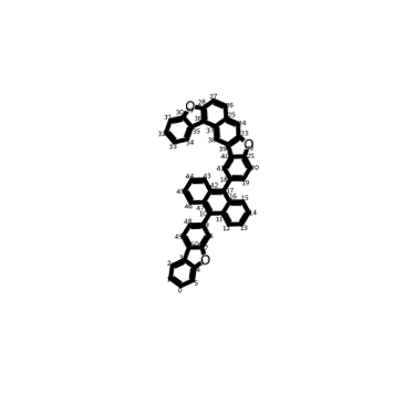 c1ccc2c(c1)oc1cc(-c3c4ccccc4c(-c4ccc5oc6cc7ccc8oc9ccccc9c8c7cc6c5c4)c4ccccc34)ccc12